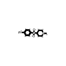 CC(C)c1ccc(S(=O)(=O)C2CCN(C)CC2)cc1